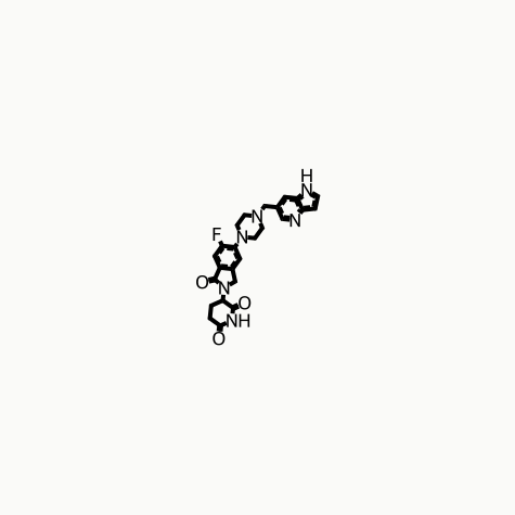 O=C1CCC(N2Cc3cc(N4CCN(Cc5cnc6cc[nH]c6c5)CC4)c(F)cc3C2=O)C(=O)N1